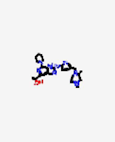 CC(O)c1cc2cnc(Nc3ccc(CN4CCN(C)C[C@@H]4C)cn3)nc2c(N2CCCCC2)n1